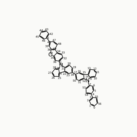 c1ccc(-c2ccc(-n3c4ccccc4c4cc(-c5ccc6c(c5)c5ccccc5n6-c5ccc6c(c5)oc5cc(-c7ccccc7)ccc56)ccc43)cc2)cc1